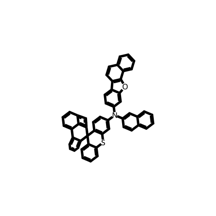 c1ccc2c(c1)Sc1cc(N(c3ccc4ccccc4c3)c3ccc4c(c3)oc3c5ccccc5ccc43)ccc1C21c2ccccc2-c2cccc3cccc1c23